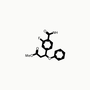 COC(=O)CC(Oc1ccccc1)c1ccc(C([NH])=O)c(F)c1